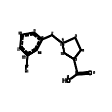 O=C(O)C1CCN(Cc2cccc(F)c2)C1